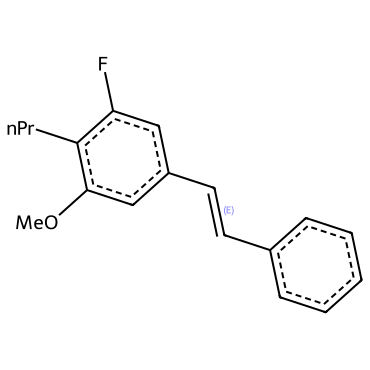 CCCc1c(F)cc(/C=C/c2ccccc2)cc1OC